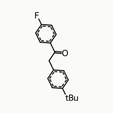 CC(C)(C)c1ccc(CC(=O)c2ccc(F)cc2)cc1